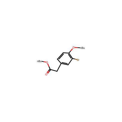 CCCCOC(=O)Cc1ccc(OCCCC)c(Br)c1